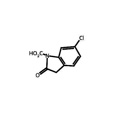 O=C(O)N1C(=O)Cc2ccc(Cl)cc21